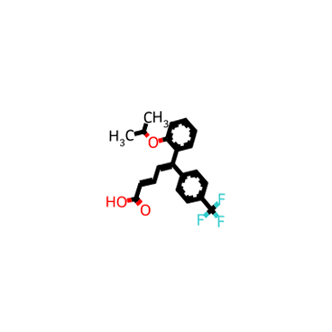 CC(C)Oc1ccccc1C(=CC=CC(=O)O)c1ccc(C(F)(F)F)cc1